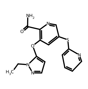 CCn1nccc1Oc1cc(Sc2ccccn2)cnc1C(N)=O